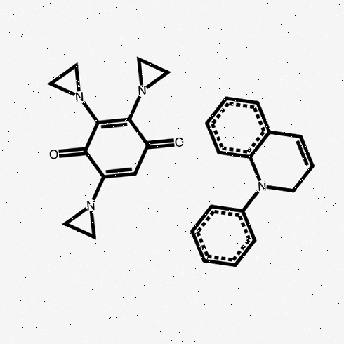 C1=Cc2ccccc2N(c2ccccc2)C1.O=C1C=C(N2CC2)C(=O)C(N2CC2)=C1N1CC1